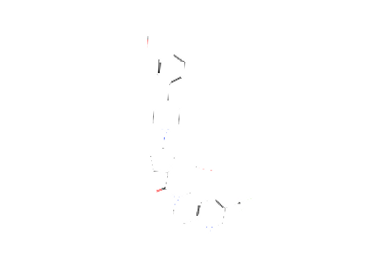 COc1cccc(C2CCN([C@@H]3CC[C@](CCO)(C(=O)N4CCC5=C(C=C(C(F)(F)F)CN5)C4)C3)CC2)c1